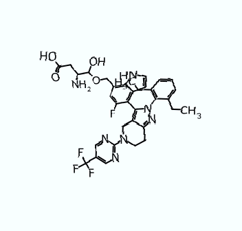 CCc1cccc(CC)c1-n1nc2c(c1-c1c(F)cc(COC(O)[C@@H](N)CC(=O)O)c3[nH]ccc13)CN(c1ncc(C(F)(F)F)cn1)CC2